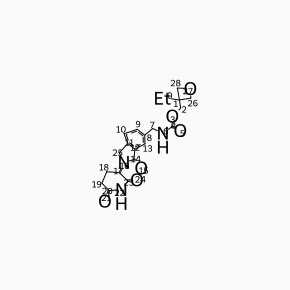 CCC1(COC(=O)NCc2ccc3c(c2)C(=O)N(C2CCC(=O)NC2=O)C3)COC1